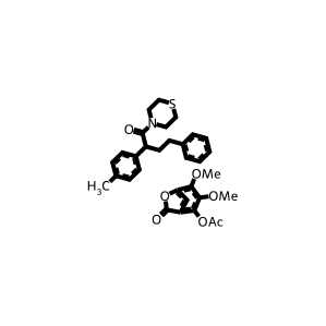 COc1c2cc(c(OC(C)=O)c1OC)C(=O)O2.Cc1ccc(C(CCc2ccccc2)C(=O)N2CCSCC2)cc1